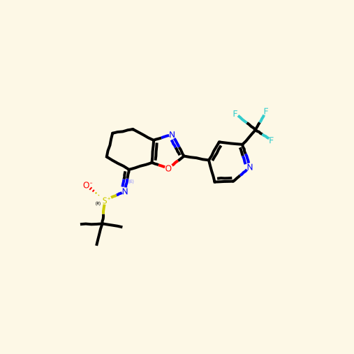 CC(C)(C)[S@+]([O-])/N=C1\CCCc2nc(-c3ccnc(C(F)(F)F)c3)oc21